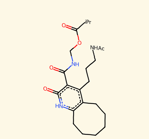 CC(=O)NCCCc1c2c([nH]c(=O)c1C(=O)NCOC(=O)C(C)C)CCCCCC2